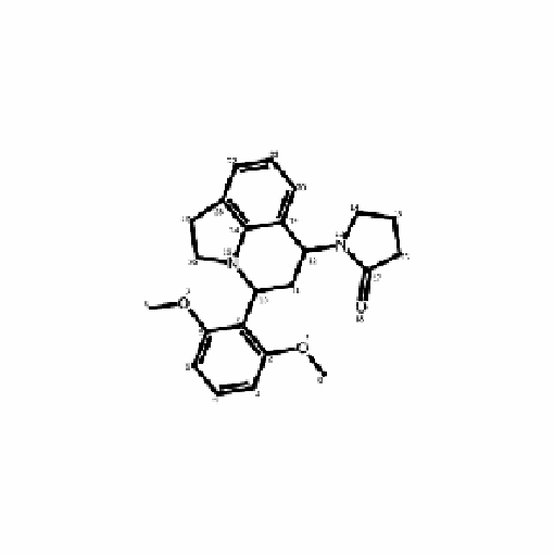 COc1cccc(OC)c1C1CC(N2CCCC2=O)c2cccc3c2N1CC3